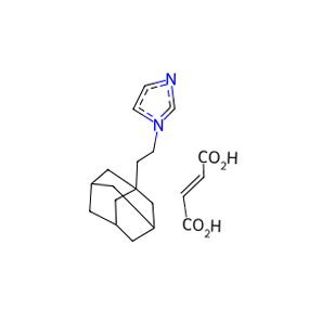 O=C(O)/C=C/C(=O)O.c1cn(CCC23CC4CC(CC(C4)C2)C3)cn1